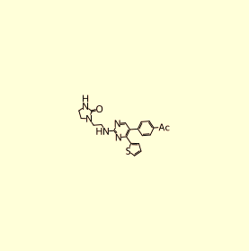 CC(=O)c1ccc(-c2cnc(NCCN3CCNC3=O)nc2-c2cccs2)cc1